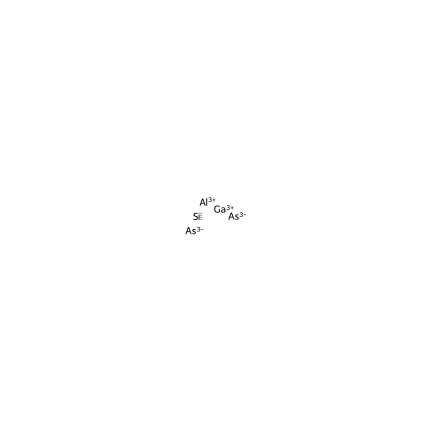 [Al+3].[As-3].[As-3].[Ga+3].[Si]